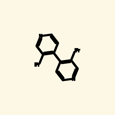 CC(C)c1cnccc1-c1ccncc1C(C)C